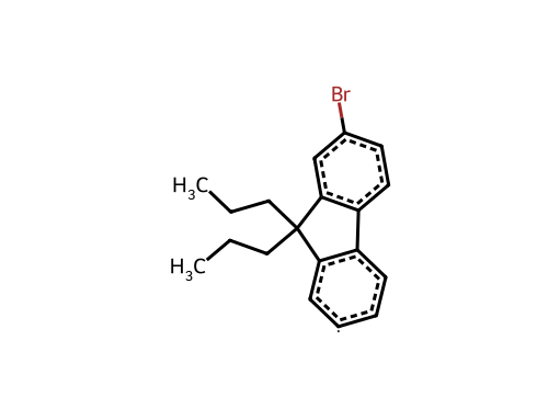 CCCC1(CCC)c2c[c]ccc2-c2ccc(Br)cc21